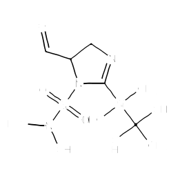 CN(C)S(=O)(=O)N1C([Si](C)(C)C(C)(C)C)=NCC1C=O